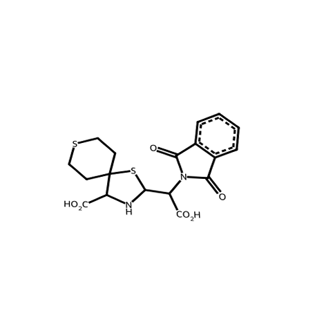 O=C(O)C(C1NC(C(=O)O)C2(CCSCC2)S1)N1C(=O)c2ccccc2C1=O